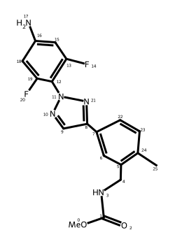 COC(=O)NCc1cc(-c2cnn(-c3c(F)cc(N)cc3F)n2)ccc1C